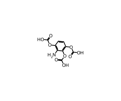 Nc1c(OC(=O)O)ccc(OC(=O)O)c1OC(=O)O